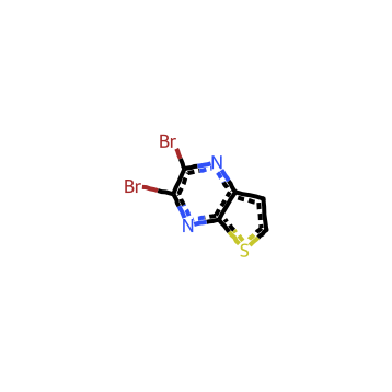 Brc1nc2ccsc2nc1Br